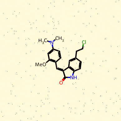 COc1cc(N(C)C)ccc1C=C1C(=O)Nc2ccc(CCCl)cc21